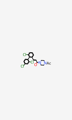 CC(=O)N1CCN(C(=O)/C=C/c2cc[c]c(Cl)c2-c2ccc(Cl)cc2Cl)CC1